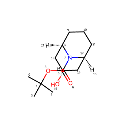 CC(C)(C)OC(=O)N1[C@@H]2CCC[C@H]1C[C@H](O)C2